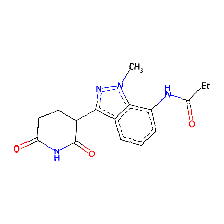 CCC(=O)Nc1cccc2c(C3CCC(=O)NC3=O)nn(C)c12